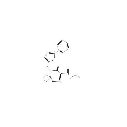 O=C(O)CNC(=O)C1=C(O)CC2(COC2)N(Cc2cnc(-c3ccccc3)s2)C1=O